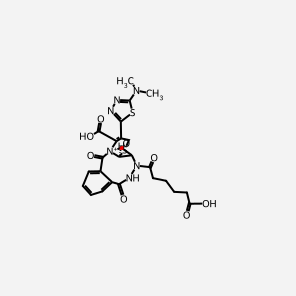 CN(C)c1nnc(C2=C(C(=O)O)[N+]34C(=O)c5ccccc5C(=O)NN(C(=O)CCCCC(=O)O)C(C3=O)[C@@H]4SC2)s1